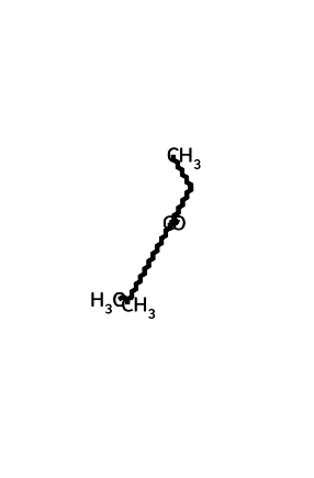 CCCCCCCC/C=C\CCCCCCCC(=O)OCCCCCCCCCCCCCCCCCCCC(C)CC